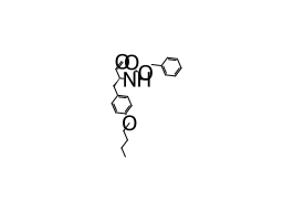 CCCCOc1ccc(C[C@@H](C=O)NC(=O)OCc2ccccc2)cc1